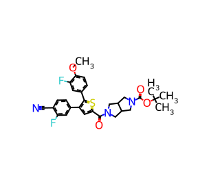 COc1ccc(-c2sc(C(=O)N3CC4CN(C(=O)OC(C)(C)C)CC4C3)cc2-c2ccc(C#N)c(F)c2)cc1F